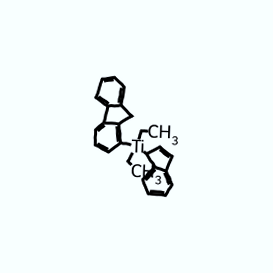 C[CH2][Ti]([CH2]C)([c]1cccc2c1Cc1ccccc1-2)[CH]1C=Cc2ccccc21